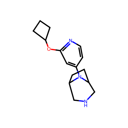 c1cc(N2C3CCC2CNC3)cc(OC2CCC2)n1